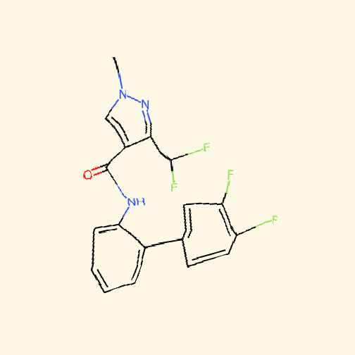 Cn1cc(C(=O)Nc2ccccc2-c2ccc(F)c(F)c2)c(C(F)F)n1